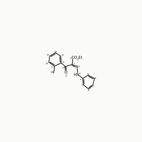 CCOC(=O)C(=NNc1ccccc1)C(=O)c1ccccc1F